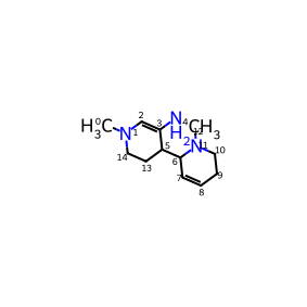 CN1C=C(N)C(C2C=CCCN2C)CC1